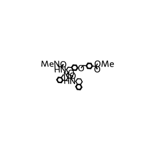 CNCC(=O)NC(Cc1ccc(OCc2ccc(C(=O)OC)cc2)cc1)C(=O)N1Cc2ccccc2CC1C(=O)NC1CCCc2ccccc21